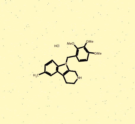 COc1ccc(Cn2c3c(c4cc(C)ccc42)CCNC3)c(OC)c1OC.Cl